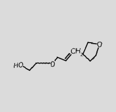 C1CCOC1.C=CCOCCO